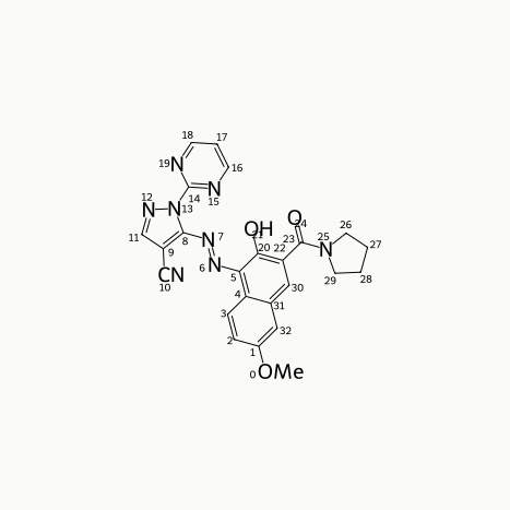 COc1ccc2c(/N=N/c3c(C#N)cnn3-c3ncccn3)c(O)c(C(=O)N3CCCC3)cc2c1